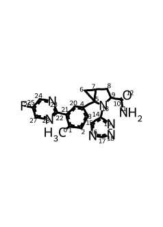 Cc1ccc(C23CC2CC(C(N)=O)N3c2cncnn2)cc1-c1ncc(F)cn1